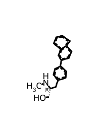 CN[C@@H](CO)Cc1ccc(-c2ccc3ccccc3c2)cc1